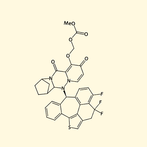 COC(=O)OCOc1c2n(ccc1=O)N([C@@H]1c3ccccc3-c3scc4c3-c3c1ccc(F)c3C(F)(F)C4)C1C3CCC(C3)N1C2=O